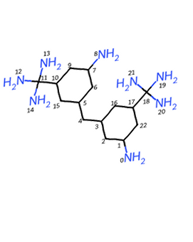 NC1CC(CC2CC(N)CC(C(N)(N)N)C2)CC(C(N)(N)N)C1